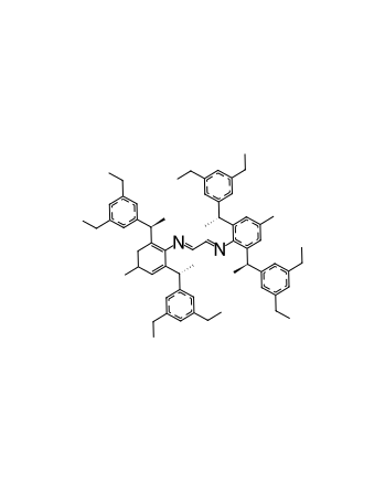 CCc1cc(CC)cc([C@@H](C)c2cc(C)cc([C@H](C)c3cc(CC)cc(CC)c3)c2/N=C/C=N/C2=C([C@H](C)c3cc(CC)cc(CC)c3)CC(C)C=C2[C@H](C)c2cc(CC)cc(CC)c2)c1